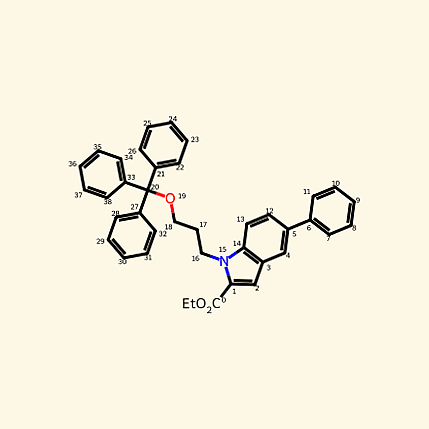 CCOC(=O)c1cc2cc(-c3ccccc3)ccc2n1CCCOC(c1ccccc1)(c1ccccc1)c1ccccc1